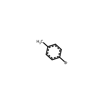 [B]c1ccc(C)cc1